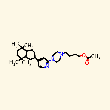 CC(=O)OCCCCN1CCN(c2cc(C3CCC4C(C3)C(C)(C)CCC4(C)C)ccn2)CC1